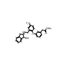 COC(=O)Cc1cccc(Oc2ccc(C(F)(F)F)cc2CNC2Cc3ccccc3[C@@H]2O)c1